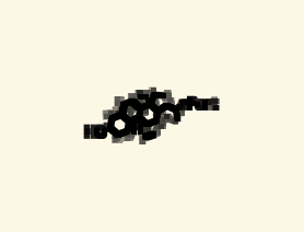 C=C.CCCCC[C@@H](C)[C@H]1CC[C@H]2C3=CC=C4C[C@@H](O)CC[C@]4(C)[C@H]3CC[C@]12C